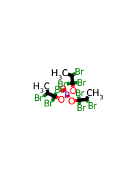 CC(Br)C(Br)(Br)OP(=O)(OC(Br)(Br)C(C)Br)OC(Br)(Br)C(C)Br